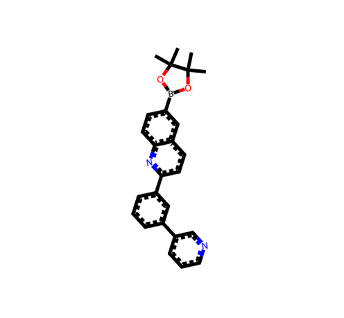 CC1(C)OB(c2ccc3nc(-c4cccc(-c5cccnc5)c4)ccc3c2)OC1(C)C